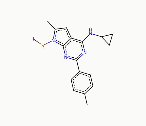 Cc1ccc(-c2nc(NC3CC3)c3cc(C)n(SI)c3n2)cc1